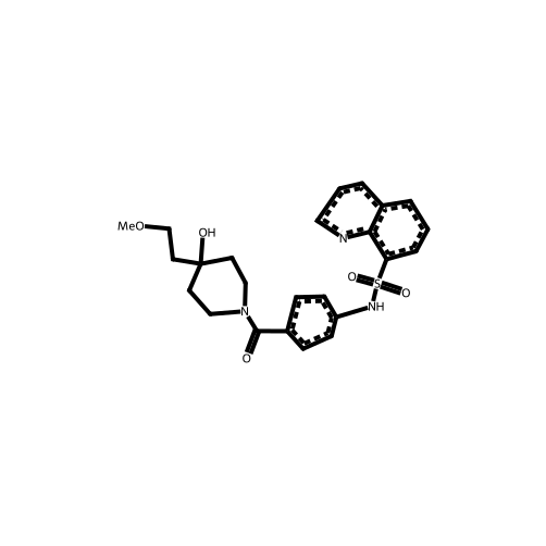 COCCC1(O)CCN(C(=O)c2ccc(NS(=O)(=O)c3cccc4cccnc34)cc2)CC1